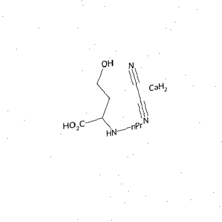 CCCNC(CCO)C(=O)O.N#CC#N.[CaH2]